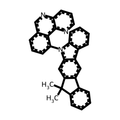 CC1(C)c2ccccc2-c2cc3c4ccccc4n(-c4cccc5cnc6cccnc6c45)c3cc21